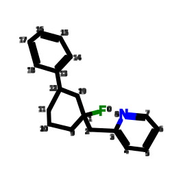 FC1(Cc2ccccn2)CCCC(c2ccccc2)C1